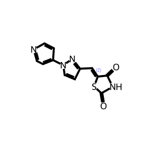 O=C1NC(=O)/C(=C/c2ccn(-c3ccncc3)n2)S1